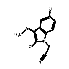 CSc1c(Cl)n(CC#N)c2ccc(Cl)cc12